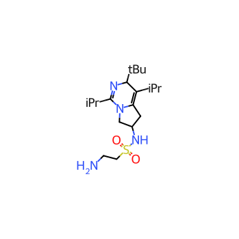 CC(C)C1=NC(C(C)(C)C)C(C(C)C)=C2CC(NS(=O)(=O)CCN)CN12